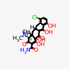 CN(C)[C@@H]1C(=O)C(C(N)=O)=C(O)[C@@]2(O)C(=O)C3=C(O)c4c(O)ccc(Cl)c4C[C@H]3C[C@@H]12